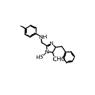 Cc1ccc(NCC2=NC(Cc3ccccc3)C(C=O)N2S)cc1